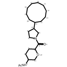 CC(=O)NC1CCC(C(=O)N2CCC(C3CCCCCCCCC3)C2)OC1